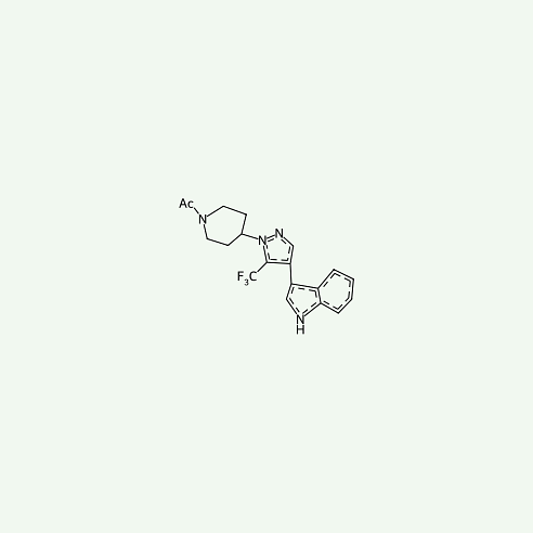 CC(=O)N1CCC(n2ncc(-c3c[nH]c4ccccc34)c2C(F)(F)F)CC1